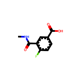 CNC(=O)c1cc(C(=O)O)ccc1F